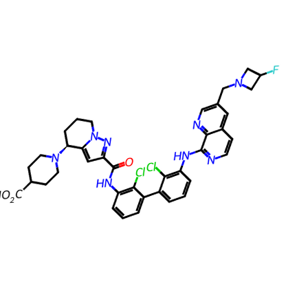 O=C(Nc1cccc(-c2cccc(Nc3nccc4cc(CN5CC(F)C5)cnc34)c2Cl)c1Cl)c1cc2n(n1)CCC[C@@H]2N1CCC(C(=O)O)CC1